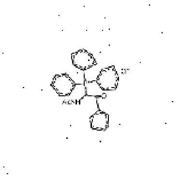 CC(=O)NC(C(=O)c1ccccc1)[P+](c1ccccc1)(c1ccccc1)c1ccccc1.[Cl-]